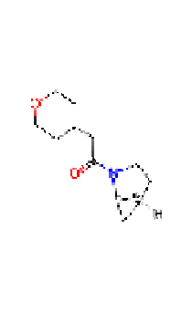 O=C(CC1CCOCC1)N1CC[C@H]2CC21